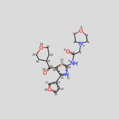 O=C(CN1CCOCC1)Nc1nc(-c2ccoc2)c(C(=O)C2CCOCC2)s1